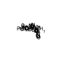 Cc1nc(N2CCOCC2)ccc1Nc1ncnc(OC2CCN(C(=O)OC(C)C)CC2)c1C